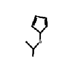 C[CH](C)[Zr][CH]1C=CC=C1